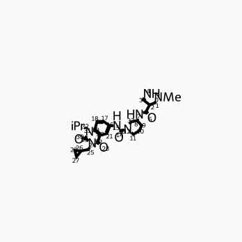 CNCC(C=N)C(=O)NC1CCCN(C(=O)Nc2ccc3c(c2)c(=O)n(CC2CC2)c(=O)n3C(C)C)C1